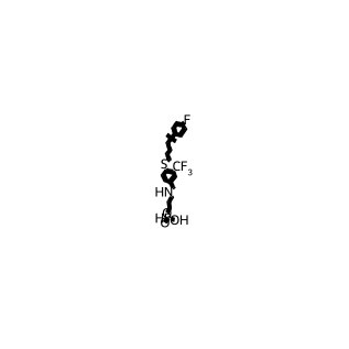 CC(C)(CCCCSc1ccc(CNCCCO[PH](=O)O)cc1C(F)(F)F)c1ccc(F)cc1